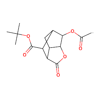 [CH2]C(=O)OC1C2CC3C1OC(=O)C3C2C(=O)OC(C)(C)C